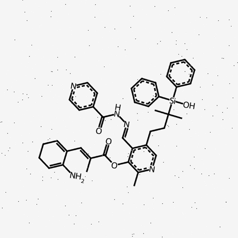 C/C(=C\C1=CCCC=C1N)C(=O)Oc1c(C)ncc(CCC(C)(C)[Si](O)(c2ccccc2)c2ccccc2)c1/C=N/NC(=O)c1ccncc1